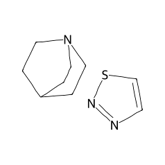 C1CN2CCC1CC2.c1csnn1